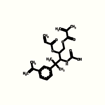 C=CC(=O)OC(COC(=O)C(=C)C)C(NC(=O)O)C(C)(C)c1cccc(C(=C)C)c1